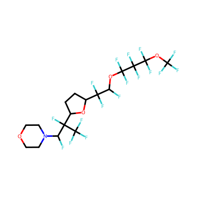 FC(OC(F)(F)C(F)(F)C(F)(F)OC(F)(F)F)C(F)(F)C1CCC(C(F)(C(F)N2CCOCC2)C(F)(F)F)O1